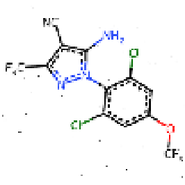 N#Cc1c(C(F)(F)F)nn(-c2c(Cl)cc(OC(F)(F)F)cc2Cl)c1N